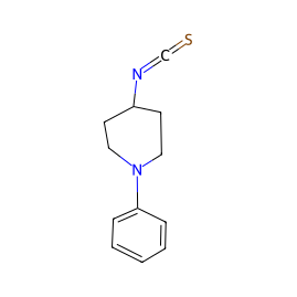 S=C=NC1CCN(c2ccccc2)CC1